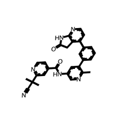 Cc1ncc(NC(=O)c2ccnc(C(C)(C)C#N)c2)cc1-c1cccc(-c2ccnc3c2CC(=O)N3)c1